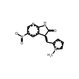 Cn1cccc1C=C1C(=O)Nc2ncc([N+](=O)[O-])cc21